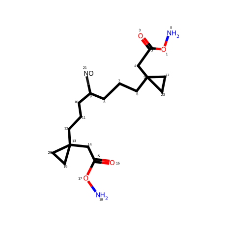 NOC(=O)CC1(CCCC(CCCC2(CC(=O)ON)CC2)N=O)CC1